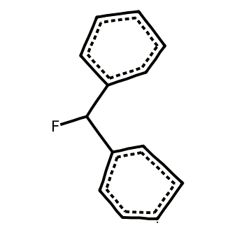 FC(c1cc[c]cc1)c1ccccc1